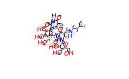 C=C(C)CCNCc1cn([C@@H]2O[C@H](CO)[C@@H](O)[C@H]2O)c(=O)[nH]c1=O.CC1CN([C@@H]2O[C@H](CO)[C@@H](O)[C@H]2O)C(=O)NC1=O